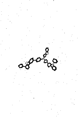 c1ccc(-c2cccc3c2oc2ccc(-c4ccc(N(c5ccc(-c6ccc7c8ccccc8n(-c8ccccc8)c7c6)cc5)c5ccc6c(c5)oc5ccccc56)cc4)cc23)cc1